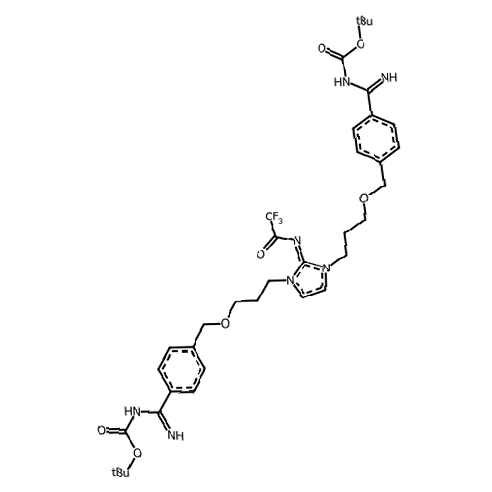 CC(C)(C)OC(=O)NC(=N)c1ccc(COCCCn2ccn(CCCOCc3ccc(C(=N)NC(=O)OC(C)(C)C)cc3)c2=NC(=O)C(F)(F)F)cc1